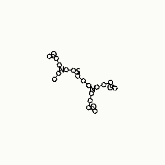 c1ccc(-c2ccc(N(c3ccc(-c4ccc5oc6ccccc6c5c4)cc3)c3ccc(-c4ccc5sc6cc(-c7ccc(-c8ccc(N(c9ccc(-c%10ccc(-c%11cccc%12c%11oc%11ccccc%11%12)cc%10)cc9)c9ccc(-c%10ccc(-c%11cccc%12c%11oc%11ccccc%11%12)cc%10)cc9)cc8)cc7)ccc6c5c4)cc3)cc2)cc1